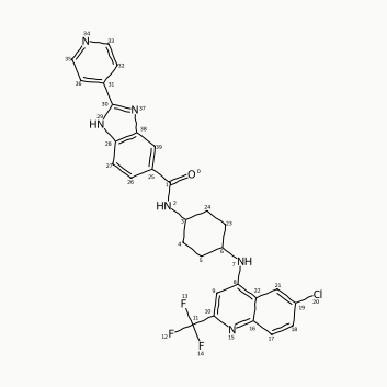 O=C(NC1CCC(Nc2cc(C(F)(F)F)nc3ccc(Cl)cc23)CC1)c1ccc2[nH]c(-c3ccncc3)nc2c1